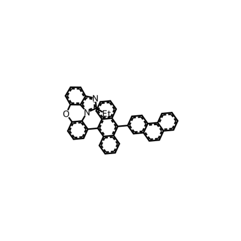 CCc1nc2cccc3c2n1-c1c(cccc1-c1c2ccccc2c(-c2ccc4c(ccc5ccccc54)c2)c2ccccc12)O3